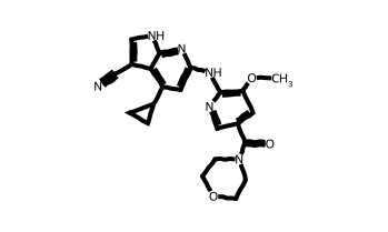 COc1cc(C(=O)N2CCOCC2)cnc1Nc1cc(C2CC2)c2c(C#N)c[nH]c2n1